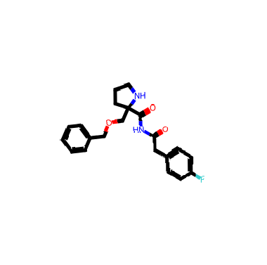 O=C(Cc1ccc(F)cc1)NC(=O)C1(COCc2ccccc2)CCCN1